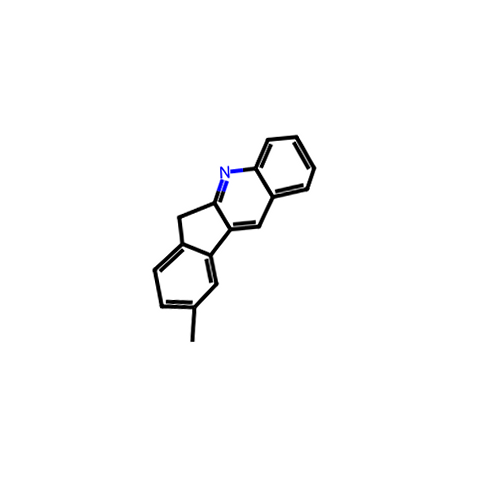 Cc1ccc2c(c1)-c1cc3ccccc3nc1C2